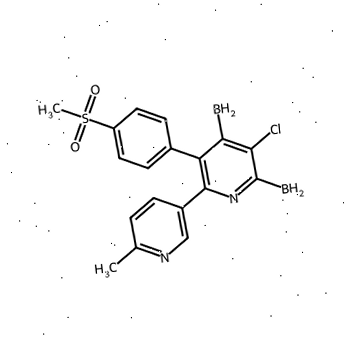 Bc1nc(-c2ccc(C)nc2)c(-c2ccc(S(C)(=O)=O)cc2)c(B)c1Cl